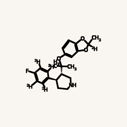 [2H]c1c([2H])c([C@@H]2CCNC[C@H]2C(C)(C)Oc2ccc3c(c2)OC([2H])(C)O3)c([2H])c([2H])c1F